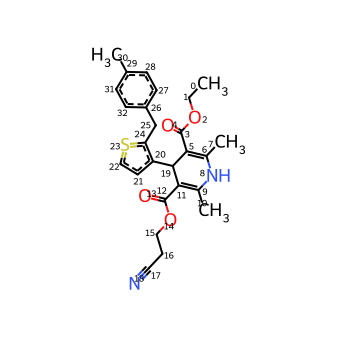 CCOC(=O)C1=C(C)NC(C)=C(C(=O)OCCC#N)C1c1ccsc1Cc1ccc(C)cc1